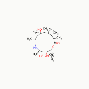 CC[C@H]1OC(=O)[C@H](C)[C@@H](C)[C@H](C)[C@@H](C)[C@](C)(O)C[C@@H](C)CN[C@H](C)[C@@H](O)[C@]1(C)O